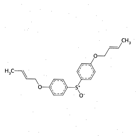 CC=CCOc1ccc([S+]([O-])c2ccc(OCC=CC)cc2)cc1